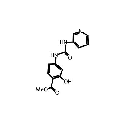 COC(=O)c1ccc(NC(=O)Nc2cccnc2)cc1O